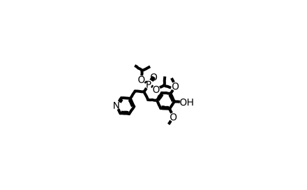 COc1cc(CC(Cc2cccnc2)P(=O)(OC(C)C)OC(C)C)cc(OC)c1O